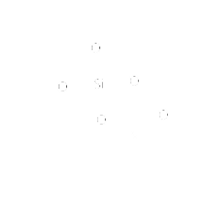 CCC=C(C)C(=O)O[Si](OC)(OC)OC